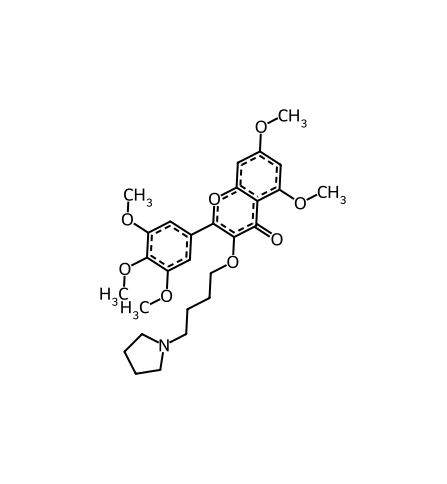 COc1cc(OC)c2c(=O)c(OCCCCN3CCCC3)c(-c3cc(OC)c(OC)c(OC)c3)oc2c1